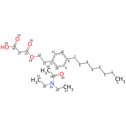 CCCCCCCCc1ccc(CCOC(=O)CC(=O)O)cc1.CCN(CC)C(C)=O